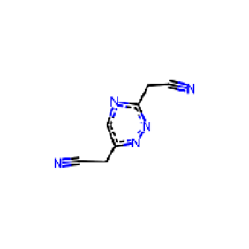 N#CCc1cnc(CC#N)nn1